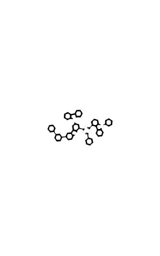 c1ccc(-c2cccc(-c3ccc4oc5c(-c6nc(-c7ccccc7)nc(-c7cccc8c7c7ccccc7n8-c7ccccc7)n6)cc(-n6c7ccccc7c7ccccc76)cc5c4c3)c2)cc1